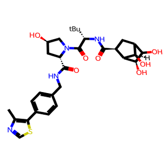 Cc1ncsc1-c1ccc(CNC(=O)[C@@H]2C[C@@H](O)CN2C(=O)[C@@H](NC(=O)[C@H]2CC3C(O)[C@@H](O)C2[C@@H]3O)C(C)(C)C)cc1